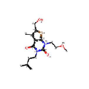 C=C(C)CCn1c(=O)c2c(C)c(CO)sc2n(CCOC)c1=O